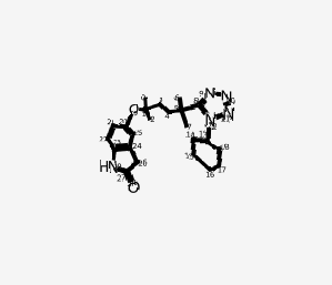 CC(C)(CCC(C)(C)c1nnnn1C1CCCCC1)Oc1ccc2c(c1)CC(=O)N2